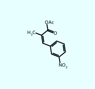 CC(=O)OC(=O)C(C)=Cc1cccc([N+](=O)[O-])c1